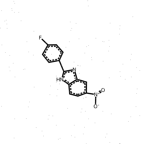 O=[N+]([O-])c1ccc2[nH]c(-c3ccc(F)cc3)nc2c1